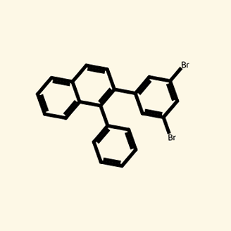 Brc1cc(Br)cc(-c2ccc3ccccc3c2-c2ccccc2)c1